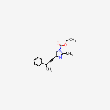 CCOC(=O)n1cc(C#CC(C)c2ccccc2)nc1C